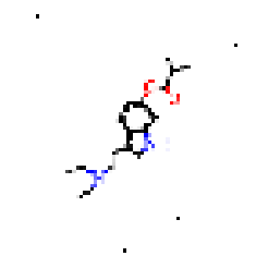 CCN(CC)CCc1c[nH]c2cc(OC(=O)C(C)C)ccc12